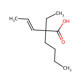 CC=CC(CC)(CCCC)C(=O)O